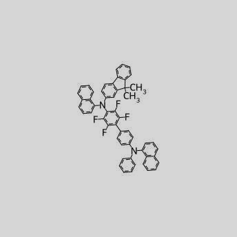 CC1(C)c2ccccc2-c2ccc(N(c3c(F)c(F)c(-c4ccc(N(c5ccccc5)c5cccc6ccccc56)cc4)c(F)c3F)c3cccc4ccccc34)cc21